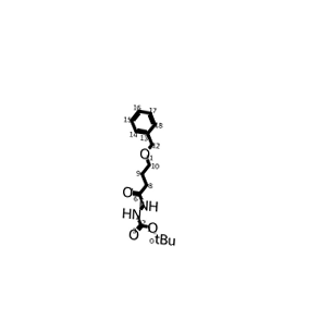 CC(C)(C)OC(=O)NNC(=O)CCCOCc1ccccc1